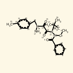 CON(C(=O)c1ccccc1)N(C(=O)C(=O)N(N)Cc1ccc(C)cc1)C(C)(C)C